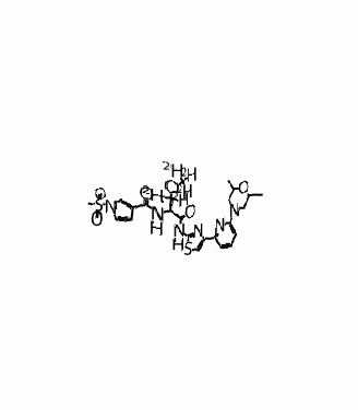 [2H]C([2H])([2H])OC([2H])([2H])C(NC(=O)c1ccn(S(C)(=O)=O)c1)C(=O)Nc1nc(-c2cccc(N3CC(C)OC(C)C3)n2)cs1